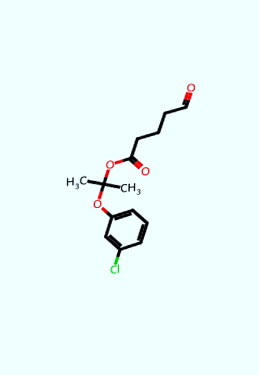 CC(C)(OC(=O)CCCC=O)Oc1cccc(Cl)c1